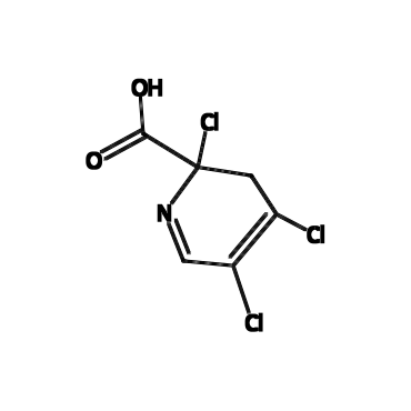 O=C(O)C1(Cl)CC(Cl)=C(Cl)C=N1